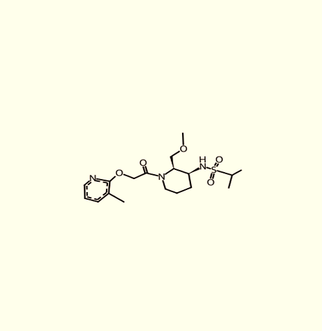 COC[C@H]1[C@@H](NS(=O)(=O)C(C)C)CCCN1C(=O)COc1ncccc1C